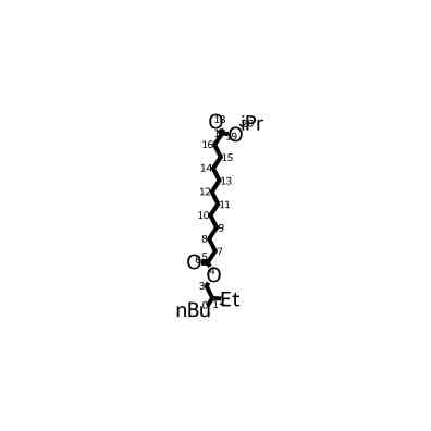 CCCCC(CC)COC(=O)CCCCCCCCCCC(=O)OC(C)C